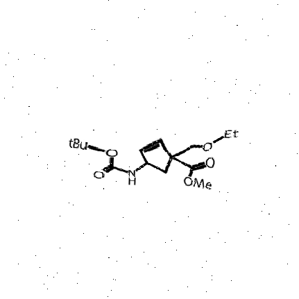 CCOCC1(C(=O)OC)C=CC(NC(=O)OC(C)(C)C)C1